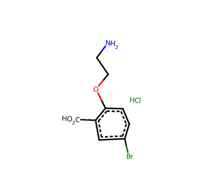 Cl.NCCOc1ccc(Br)cc1C(=O)O